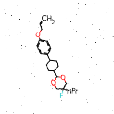 C=CCOc1ccc(C2CCC(C3OCC(F)(CCC)CO3)CC2)cc1